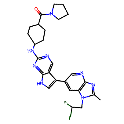 Cc1nc2ncc(-c3c[nH]c4nc(NC5CCC(C(=O)N6CCCC6)CC5)ncc34)cc2n1CC(F)F